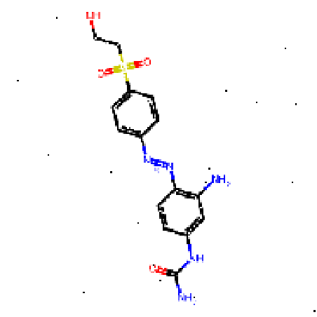 NC(=O)Nc1ccc(/N=N/c2ccc(S(=O)(=O)CCO)cc2)c(N)c1